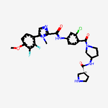 COc1ccc(-c2cnc(C(=O)Nc3ccc(C(=O)N4CCC(NC(=O)[C@@H]5CCNC5)C4)c(Cl)c3)n2C)c(F)c1F